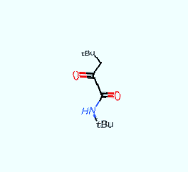 CC(C)(C)CC(=O)C(=O)NC(C)(C)C